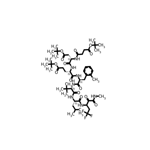 CNC(=O)C(=O)C(CC(F)(F)F)NC(=O)[C@H](CC(C)C)NC(=O)[C@@H](NC(=O)[C@H](Cc1ccccc1C)NC(=O)[C@H](CCC(=O)OC(C)(C)C)NC(=O)[C@H](CC(=O)OC(C)(C)C)NC(=O)CCC(=O)OC(C)(C)C)C(C)(C)C